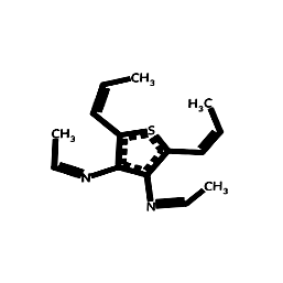 C/C=C\c1sc(/C=C\C)c(/N=C\C)c1/N=C\C